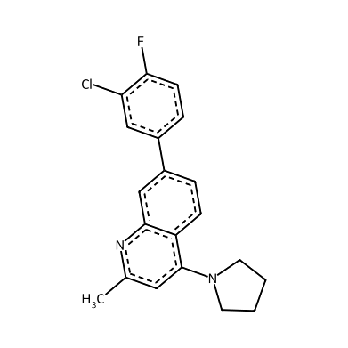 Cc1cc(N2CCCC2)c2ccc(-c3ccc(F)c(Cl)c3)cc2n1